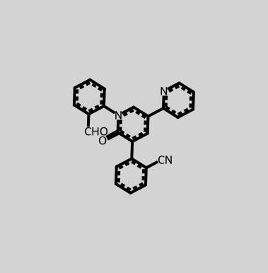 N#Cc1ccccc1-c1cc(-c2ccccn2)cn(-c2ccccc2C=O)c1=O